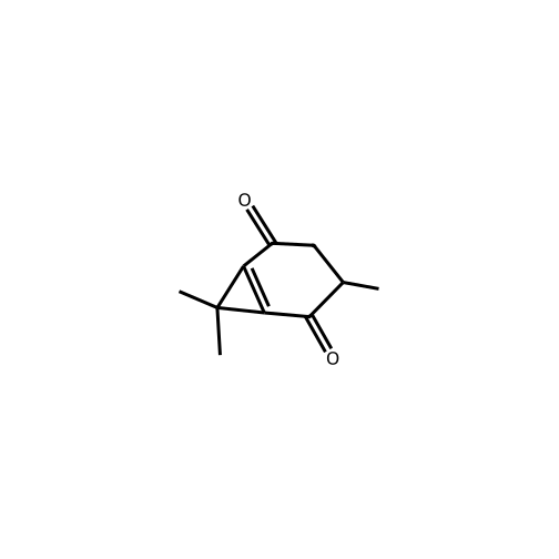 CC1CC(=O)C2=C(C1=O)C2(C)C